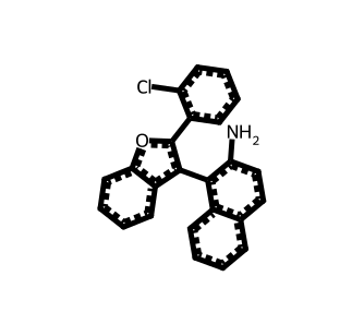 Nc1ccc2ccccc2c1-c1c(-c2ccccc2Cl)oc2ccccc12